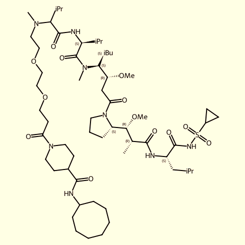 CC[C@H](C)[C@@H]([C@@H](CC(=O)N1CCC[C@H]1[C@H](OC)[C@@H](C)C(=O)N[C@@H](CC(C)C)C(=O)NS(=O)(=O)C1CC1)OC)N(C)C(=O)[C@@H](NC(=O)C(C(C)C)N(C)CCOCCOCCC(=O)N1CCC(C(=O)NC2CCCCCCC2)CC1)C(C)C